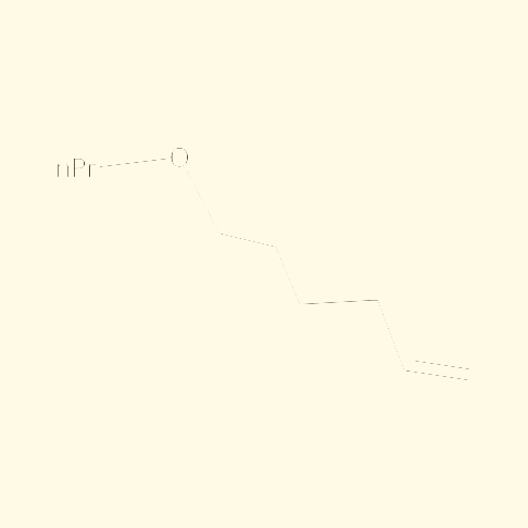 [CH2]CCOCCCCC=C